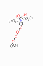 CCOC(=O)c1c(O)c(O)c(C(=O)OCC)n1-c1ccc(OCCOCCOCCOCCOC)cc1